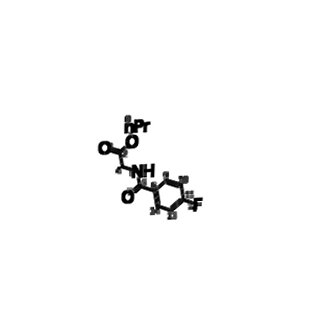 CCCOC(=O)CNC(=O)c1ccc(F)cc1